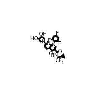 O=C(N[C@@H](C1CC1)C(F)(F)F)c1cn(-c2c(F)cc(F)cc2F)c2nc(N3CC(O)[C@@H](O)C3)ccc2c1=O